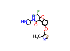 Cc1ncsc1COc1ccc2oc(C(F)F)c(C(=O)NC3CCNC3)c2c1